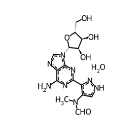 CN(C=O)c1c[nH]nc1-c1nc(N)c2ncn([C@@H]3O[C@H](CO)[C@@H](O)[C@H]3O)c2n1.O